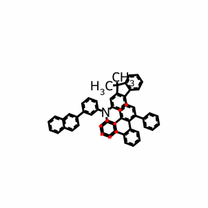 CC1(C)c2ccccc2-c2ccc(N(c3cccc(-c4ccc5ccccc5c4)c3)c3ccccc3-c3cccc(-c4ccccc4)c3-c3ccccc3-c3ccccc3)cc21